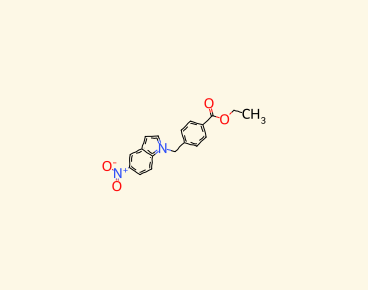 CCOC(=O)c1ccc(Cn2ccc3cc([N+](=O)[O-])ccc32)cc1